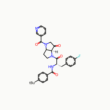 CC(C)(C)c1ccc(C(=O)N[C@@H](Cc2ccc(F)cc2)C(=O)N2CCC3[C@H]2C(=O)CN3C(=O)c2cccnc2)cc1